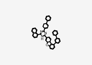 C1=CC2c3c(cccc3-c3cccc(-c4ccccc4)c3)OC2C=C1C1N=C(C2=CC=C(c3ccccc3)CC2)N=C(c2cccc3ccccc23)N1